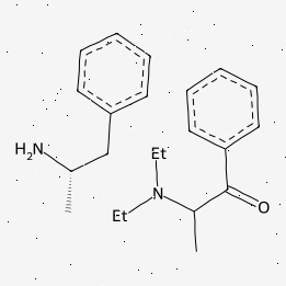 CCN(CC)C(C)C(=O)c1ccccc1.C[C@H](N)Cc1ccccc1